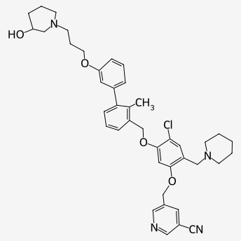 Cc1c(COc2cc(OCc3cncc(C#N)c3)c(CN3CCCCC3)cc2Cl)cccc1-c1cccc(OCCCN2CCCC(O)C2)c1